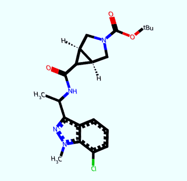 CC(NC(=O)C1[C@H]2CN(C(=O)OC(C)(C)C)C[C@@H]12)c1nn(C)c2c(Cl)cccc12